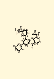 FC(F)(F)c1cccc(Nc2nc(-c3cccc(C(F)(F)F)n3)cc(N3CCOCC3)n2)c1